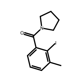 Cc1cccc(C(=O)N2CCCC2)c1I